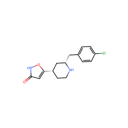 O=c1cc([C@H]2CCN[C@@H](Cc3ccc(Cl)cc3)C2)o[nH]1